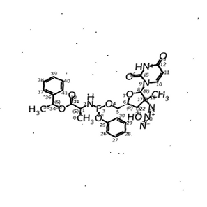 C[C@H](NP(OC[C@H]1O[C@@H](n2ccc(=O)[nH]c2=O)[C@](C)(N=[N+]=[N-])[C@@H]1O)Oc1ccccc1)C(=O)O[C@@H](C)c1ccccc1